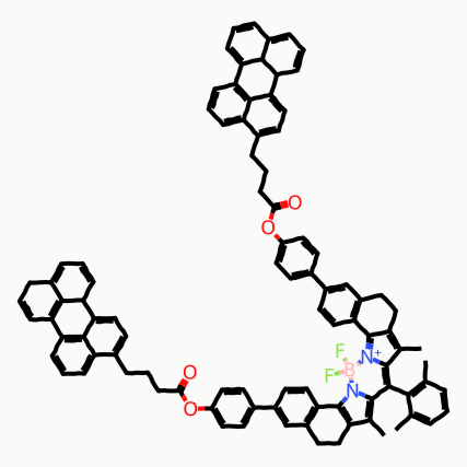 CC1=C2CCc3cc(-c4ccc(OC(=O)CCCc5ccc6c7c(cccc57)C5=CC=CC7=CC=CC6C75)cc4)ccc3C2=[N+]2C1=C(c1c(C)cccc1C)c1c(C)c3c(n1[B-]2(F)F)-c1ccc(-c2ccc(OC(=O)CCCc4ccc5c6c(cccc46)C4=C6C(=CC=CC65)CC=C4)cc2)cc1CC3